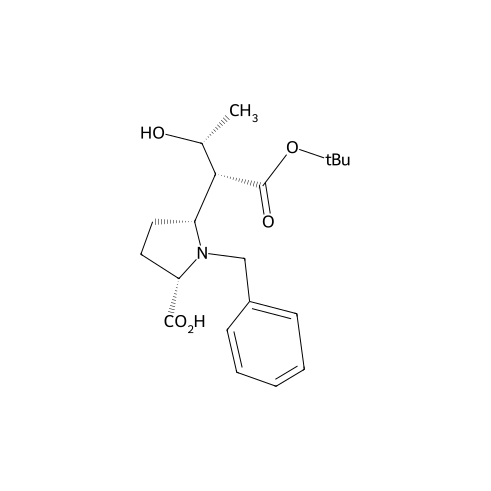 C[C@@H](O)[C@H](C(=O)OC(C)(C)C)[C@H]1CC[C@@H](C(=O)O)N1Cc1ccccc1